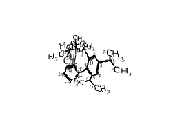 CC(C)c1cc(C(C)C)c2c(c1)C(C)[PH](C(C)(C)C)(C(C)(C)C)c1ccccc1-2